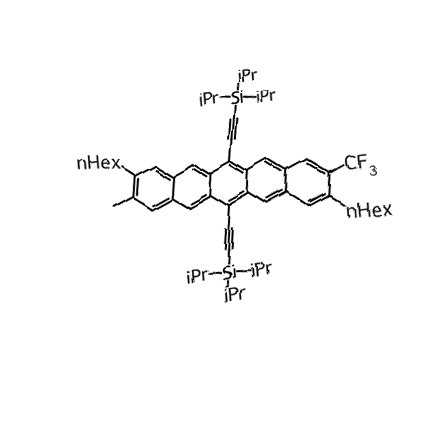 CCCCCCc1cc2cc3c(C#C[Si](C(C)C)(C(C)C)C(C)C)c4cc5cc(C(F)(F)F)c(CCCCCC)cc5cc4c(C#C[Si](C(C)C)(C(C)C)C(C)C)c3cc2cc1C